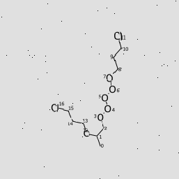 CC(COOOOOCCCCl)OCCCCl